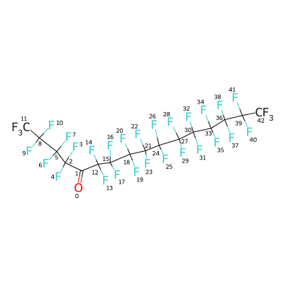 O=C(C(F)(F)C(F)(F)C(F)(F)C(F)(F)F)C(F)(F)C(F)(F)C(F)(F)C(F)(F)C(F)(F)C(F)(F)C(F)(F)C(F)(F)C(F)(F)C(F)(F)C(F)(F)F